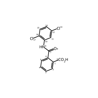 O=C(O)c1ccccc1C(=O)Nc1cc(Cl)ccc1Cl